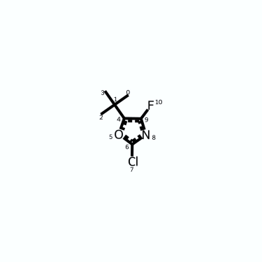 CC(C)(C)c1oc(Cl)nc1F